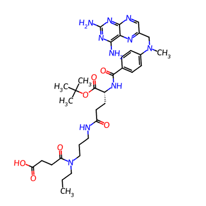 CCCN(CCCNC(=O)CC[C@@H](NC(=O)c1ccc(N(C)Cc2cnc3nc(N)nc(N)c3n2)cc1)C(=O)OC(C)(C)C)C(=O)CCC(=O)O